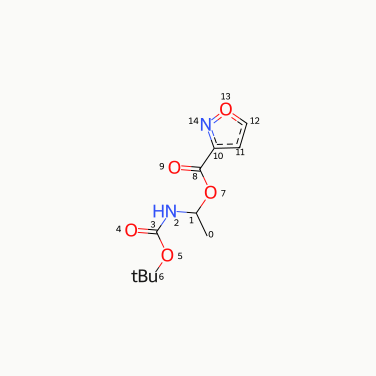 CC(NC(=O)OC(C)(C)C)OC(=O)c1ccon1